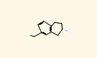 CC(=O)OCc1ccc2c(c1)C[C@H](N)CC2